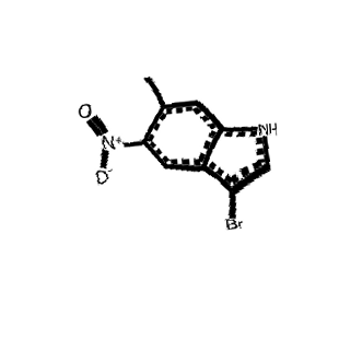 Cc1cc2[nH]cc(Br)c2cc1[N+](=O)[O-]